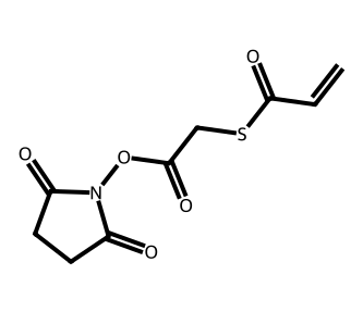 C=CC(=O)SCC(=O)ON1C(=O)CCC1=O